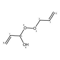 C=CCOOC(O)C=C